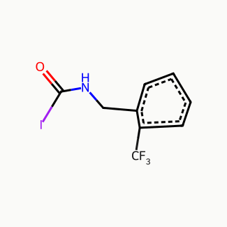 O=C(I)NCc1ccccc1C(F)(F)F